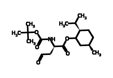 CC(C)[C@@H]1CC[C@@H](C)CC1OC(=O)[C@H](CC=O)NC(=O)OC(C)(C)C